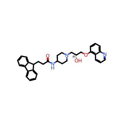 O=C(CCC1c2ccccc2-c2ccccc21)NC1CCN(C[C@@H](O)COc2cccc3ncccc23)CC1